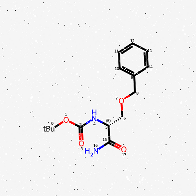 CC(C)(C)OC(=O)N[C@H](COCc1ccccc1)C(N)=O